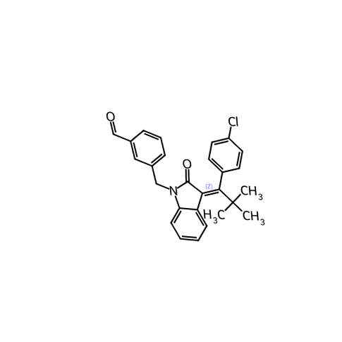 CC(C)(C)/C(=C1/C(=O)N(Cc2cccc(C=O)c2)c2ccccc21)c1ccc(Cl)cc1